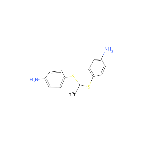 CCCC(Sc1ccc(N)cc1)Sc1ccc(N)cc1